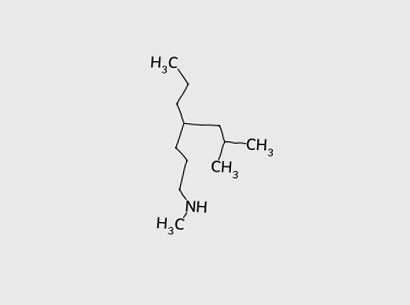 CCCC(CCCNC)CC(C)C